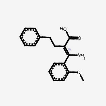 COc1ccccc1/C(N)=C(\CCc1ccccc1)C(=O)O